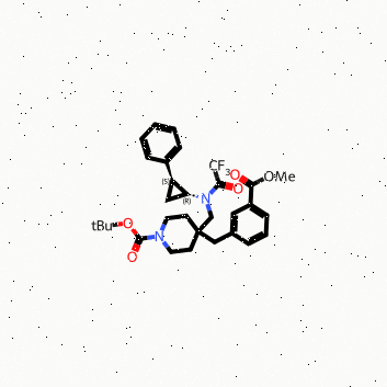 COC(=O)c1cccc(CC2(CN(C(=O)C(F)(F)F)[C@@H]3C[C@H]3c3ccccc3)CCN(C(=O)OC(C)(C)C)CC2)c1